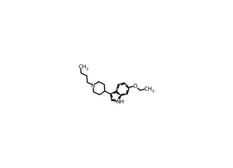 CCCCN1CCC(c2c[nH]c3cc(OCC)ccc23)CC1